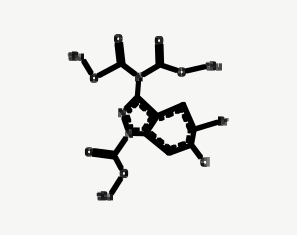 CC(C)(C)OC(=O)N(C(=O)OC(C)(C)C)c1nn(C(=O)OC(C)(C)C)c2cc(Cl)c(Br)cc12